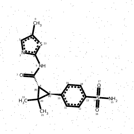 Cc1cnc(NC(=O)[C@@H]2[C@@H](c3ccc(S(N)(=O)=O)cc3)C2(C)C)s1